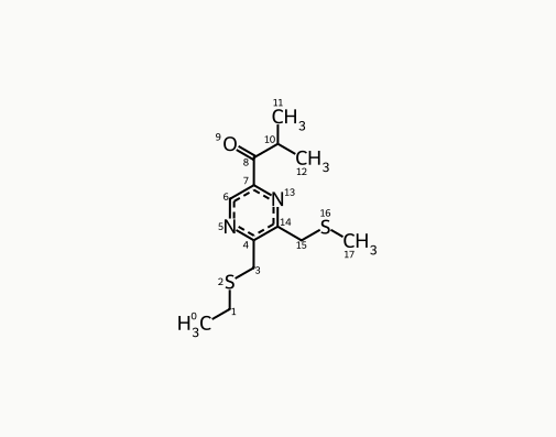 CCSCc1ncc(C(=O)C(C)C)nc1CSC